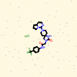 Cl.O=C(CN1CC2(CCN(c3nccc4cccn34)CC2)NC1=O)Nc1ccc(C(F)(F)F)cc1